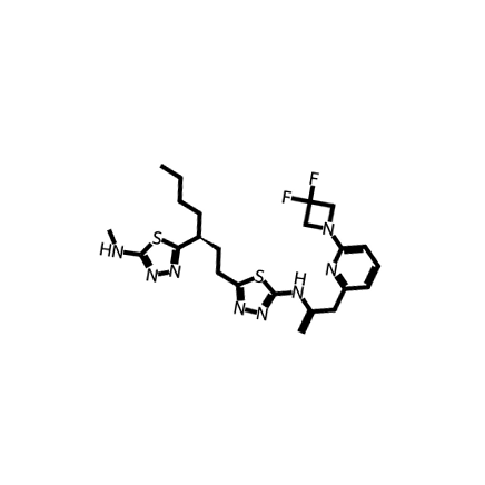 C=C(Cc1cccc(N2CC(F)(F)C2)n1)Nc1nnc(CC[C@H](CCCC)c2nnc(NC)s2)s1